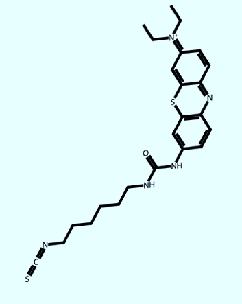 CC[N+](CC)=c1ccc2nc3ccc(NC(=O)NCCCCCCN=C=S)cc3sc-2c1